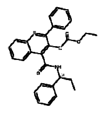 CCOC(=O)Oc1c(-c2ccccc2)nc2ccccc2c1C(=O)N[C@@H](CC)c1ccccc1